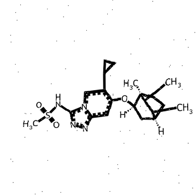 CC1C(C)[C@]2(C)CC[C@H]1C[C@H]2Oc1cc2nnc(NS(C)(=O)=O)n2cc1C1CC1